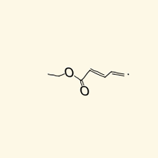 [CH]=C/C=C/C(=O)OCC